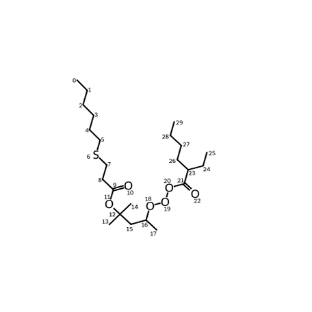 CCCCCCSCCC(=O)OC(C)(C)CC(C)OOOC(=O)C(CC)CCCC